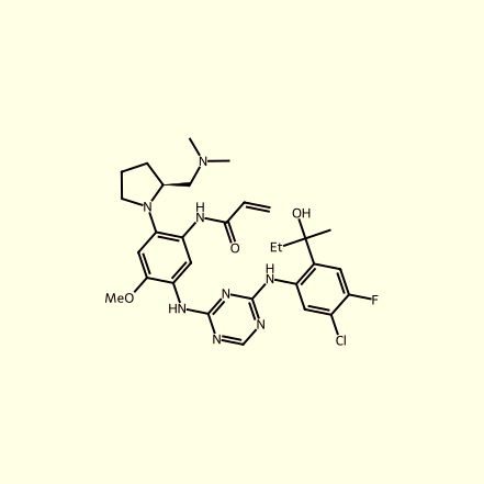 C=CC(=O)Nc1cc(Nc2ncnc(Nc3cc(Cl)c(F)cc3C(C)(O)CC)n2)c(OC)cc1N1CCC[C@H]1CN(C)C